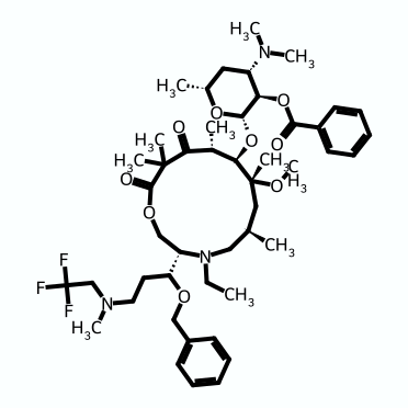 CCN1C[C@H](C)C[C@@](C)(OC)[C@H](O[C@@H]2O[C@H](C)C[C@H](N(C)C)[C@H]2OC(=O)c2ccccc2)[C@@H](C)C(=O)C(C)(C)C(=O)OC[C@H]1C(CCN(C)CC(F)(F)F)OCc1ccccc1